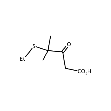 CCSC(C)(C)C(=O)CC(=O)O